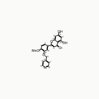 COc1ccc(-c2cc(=O)c3c(O)cc(O)cc3o2)cc1OCc1ccncc1